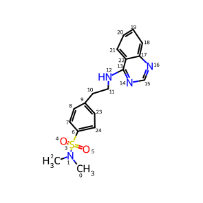 CN(C)S(=O)(=O)c1ccc(CCNc2ncnc3ccccc23)cc1